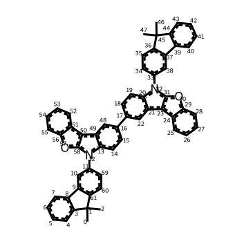 CC1(C)c2ccccc2-c2cc(-n3c4ccc(-c5ccc6c(c5)c5c7ccccc7oc5n6-c5ccc6c(c5)-c5ccccc5C6(C)C)cc4c4c5ccccc5oc43)ccc21